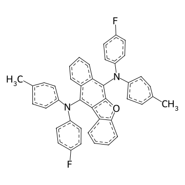 Cc1ccc(N(c2ccc(F)cc2)c2c3ccccc3c(N(c3ccc(C)cc3)c3ccc(F)cc3)c3c2oc2ccccc23)cc1